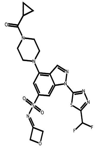 O=C(C1CC1)N1CCN(c2cc(S(=O)(=O)N=C3COC3)cc3c2cnn3-c2nnc(C(F)F)s2)CC1